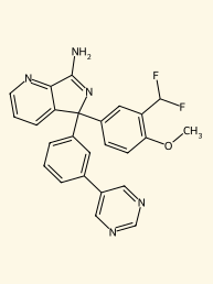 COc1ccc(C2(c3cccc(-c4cncnc4)c3)N=C(N)c3ncccc32)cc1C(F)F